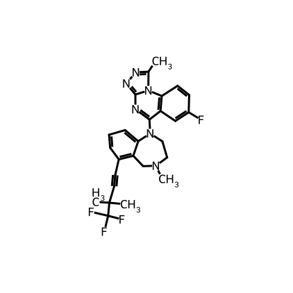 Cc1nnc2nc(N3CCN(C)Cc4c(C#CC(C)(C)C(F)(F)F)cccc43)c3cc(F)ccc3n12